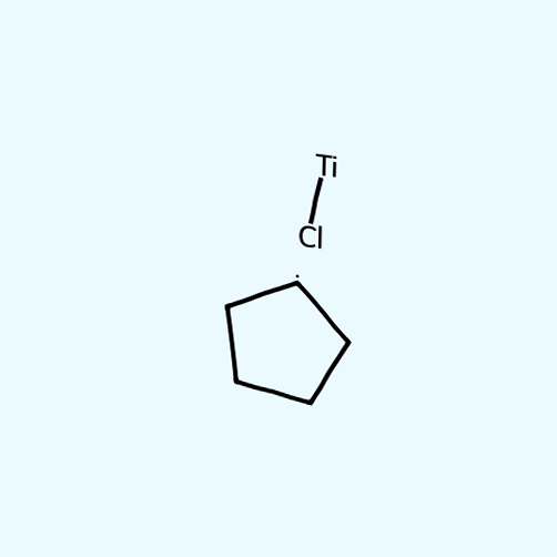 [CH]1CCCC1.[Cl][Ti]